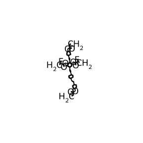 C=CC(=O)Oc1ccc(C#Cc2c(OC(=O)C(=C)F)cc(C#Cc3ccc(/C=C/c4ccc(OC(=O)C=C)cc4)cc3)cc2OC(=O)C(=C)F)cc1